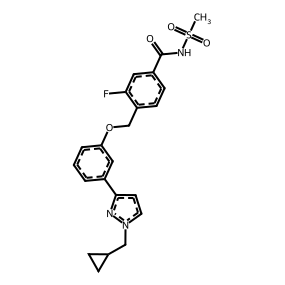 CS(=O)(=O)NC(=O)c1ccc(COc2cccc(-c3ccn(CC4CC4)n3)c2)c(F)c1